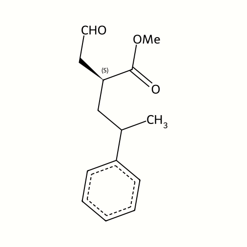 COC(=O)[C@H](CC=O)CC(C)c1ccccc1